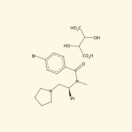 CC(C)[C@@H](CN1CCCC1)N(C)C(=O)c1ccc(Br)cc1.O=C(O)C(O)C(O)C(=O)O